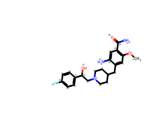 COc1cc(CC2CCN(CC(O)c3ccc(F)cc3)CC2)c(N)cc1C(N)=O